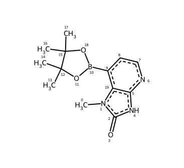 Cn1c(=O)[nH]c2nccc(B3OC(C)(C)C(C)(C)O3)c21